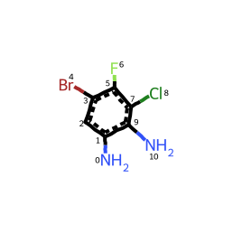 Nc1cc(Br)c(F)c(Cl)c1N